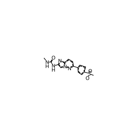 CNC(=O)Nc1cn2nc(-c3ccc(S(C)(=O)=O)cc3)ccc2n1